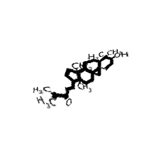 CC(C)C(=O)CCC1CC[C@@]2(C)C3CCC4C(C)(C)[C@@H](O)CC[C@@]45C[C@@]35CC[C@]12C